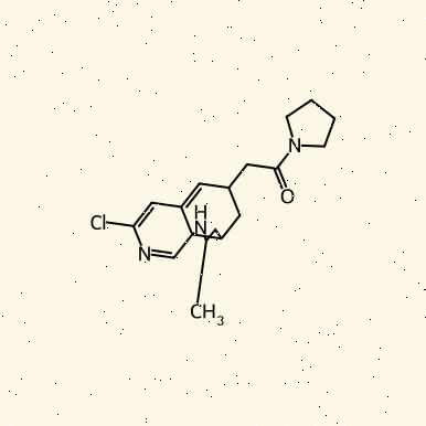 CC1CC2CC(CC(=O)N3CCCC3)C=C3C=C(Cl)N=CC32N1